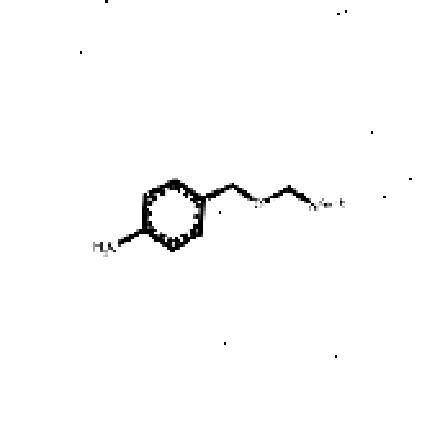 CCCCCCOCc1ccc(C)cc1